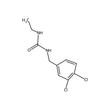 CCNC(=O)NCc1ccc(Cl)c(Cl)c1